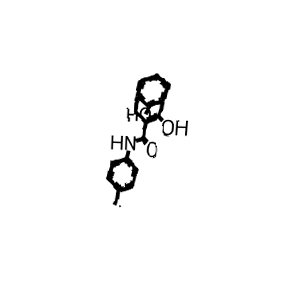 [CH2]c1ccc(NC(=O)C2=C(O)c3cccc(c3O)C2)cc1